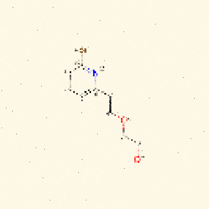 O=CCOCCc1cccc(Br)n1